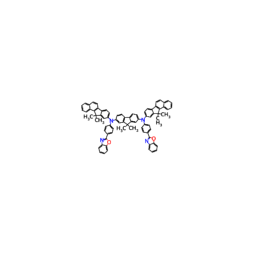 CC1(C)c2cc(N(c3ccc(-c4nc5ccccc5o4)cc3)c3ccc4c(c3)C(C)(C)c3c-4ccc4ccccc34)ccc2-c2ccc(N(c3ccc(-c4nc5ccccc5o4)cc3)c3ccc4c(c3)C(C)(C)c3c-4ccc4ccccc34)cc21